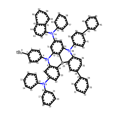 CC(C)(C)c1ccc(N2c3cc(N(c4ccccc4)c4ccccc4)ccc3B3c4cc(-c5ccccc5)ccc4N(c4ccc(-c5ccccc5)cc4)c4cc(N(c5ccccc5)c5cccc6ccccc56)cc2c43)cc1